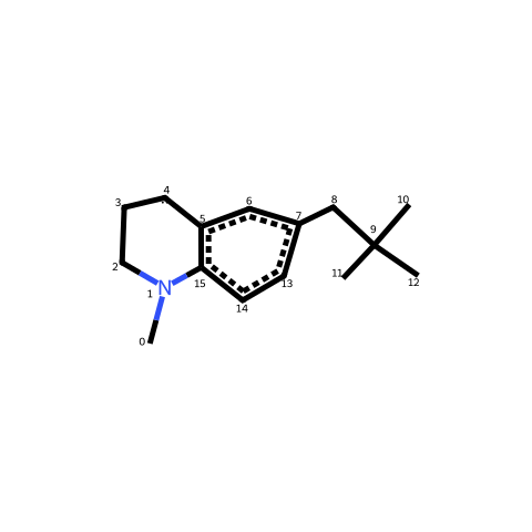 CN1CC[C]c2cc(CC(C)(C)C)ccc21